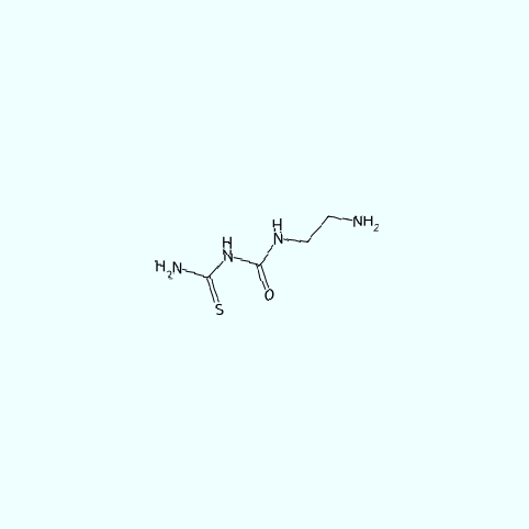 NCCNC(=O)NC(N)=S